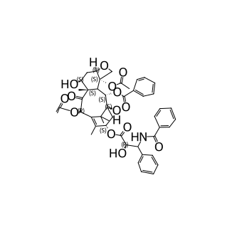 CC(=O)O[C@H]1C(=O)[C@@]2(C)C([C@H](OC(=O)c3ccccc3)[C@]3(O)C[C@H](OC(=O)[C@H](O)C(NC(=O)c4ccccc4)c4ccccc4)C(C)=C1C3(C)C)[C@]1(OC(C)=O)CO[C@@H]1C[C@@H]2O